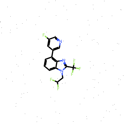 Fc1[c]ncc(-c2cccc3c2nc(C(F)(F)F)n3CC(F)F)c1